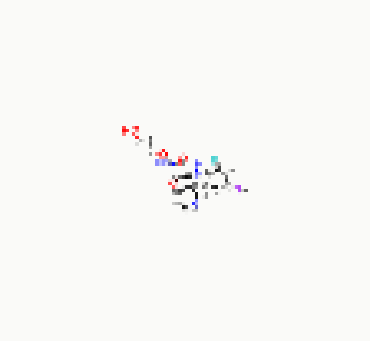 O=C(NOCCCO)c1oc2ccncc2c1Nc1ccc(I)cc1F